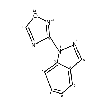 c1ccc2c(c1)cnn2-c1ncon1